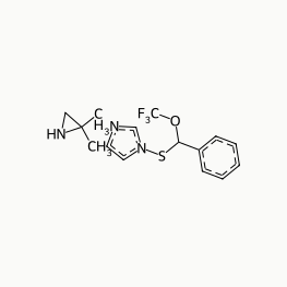 CC1(C)CN1.FC(F)(F)OC(Sn1ccnc1)c1ccccc1